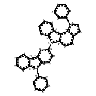 c1ccc(-n2ccc3ccc4c(c5ccccc5n4-c4ccc5c(c4)c4ccccc4n5-c4ccccc4)c32)cc1